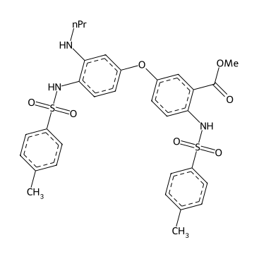 CCCNc1cc(Oc2ccc(NS(=O)(=O)c3ccc(C)cc3)c(C(=O)OC)c2)ccc1NS(=O)(=O)c1ccc(C)cc1